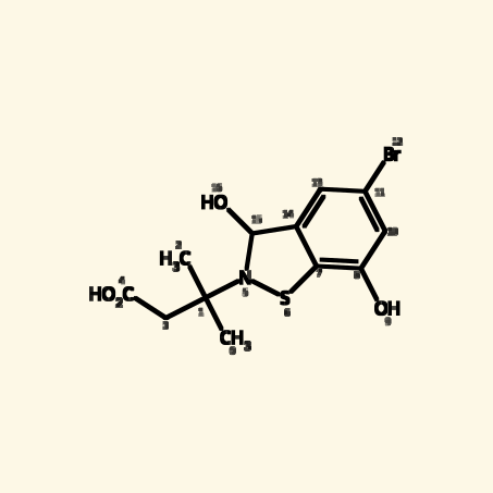 CC(C)(CC(=O)O)N1Sc2c(O)cc(Br)cc2C1O